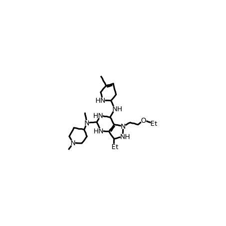 CCOCCN1NC(CC)C2=C1C(NC1CC=C(C)CN1)NC(N(C)C1CCN(C)CC1)N2